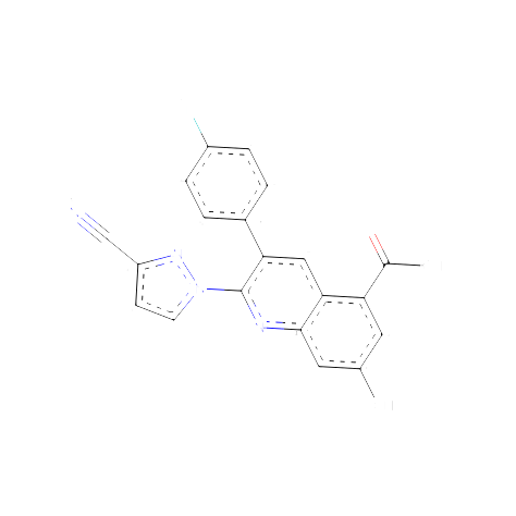 CC(=O)c1cc(C)cc2nc(-n3ccc(C#N)n3)c(-c3ccc(F)cc3)cc12